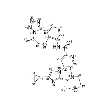 C[C@@H]1CN(c2cnc(C(=O)Nc3cccc4c3OC[C@@H](C)n3nnnc3-4)cc2-n2cnc(C3CC3)c2)CCO1